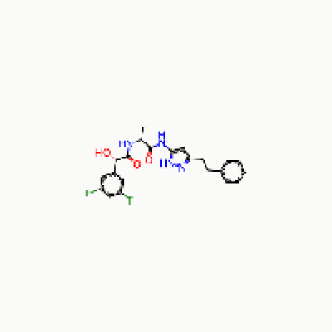 C[C@H](NC(=O)[C@@H](O)c1cc(F)cc(F)c1)C(=O)Nc1cc(CCc2ccccc2)n[nH]1